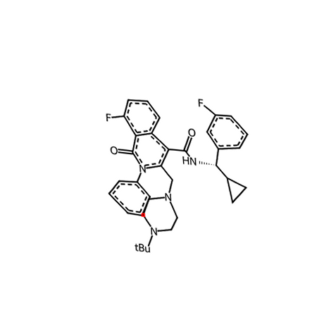 CC(C)(C)N1CCN(Cc2c(C(=O)N[C@H](c3cccc(F)c3)C3CC3)c3cccc(F)c3c(=O)n2-c2ccccc2)CC1